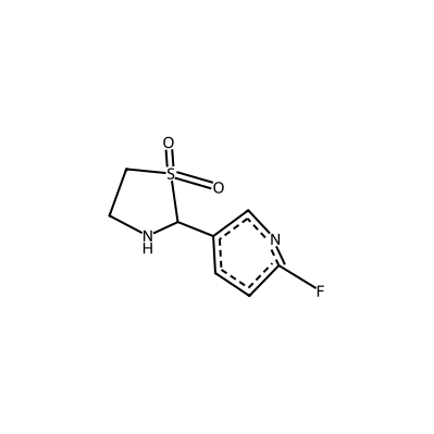 O=S1(=O)CCNC1c1ccc(F)nc1